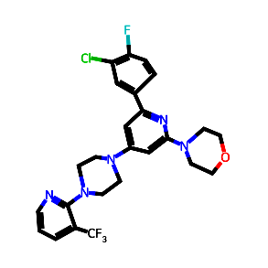 Fc1ccc(-c2cc(N3CCN(c4ncccc4C(F)(F)F)CC3)cc(N3CCOCC3)n2)cc1Cl